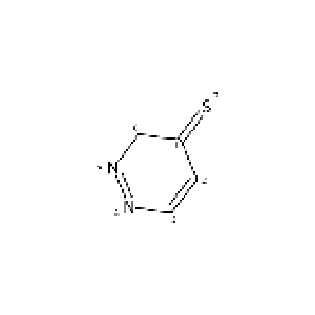 S=C1C=CN=NC1